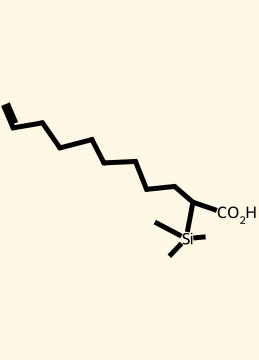 C=CCCCCCCCC(C(=O)O)[Si](C)(C)C